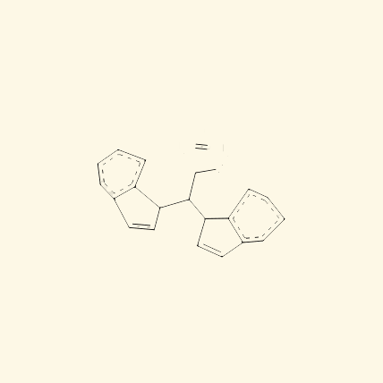 C=C.[Cl-].[Zr+][CH2]C(C1C=Cc2ccccc21)C1C=Cc2ccccc21